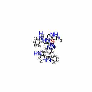 CC(C)(N)C(=O)N[C@H](Cc1c[nH]c2ccccc12)c1nnc(CCc2c[nH]c3ccccc23)n1CCc1c[nH]c2ccccc12